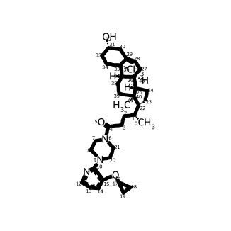 C[C@H](CCC(=O)N1CCN(c2ncccc2OC2CC2)CC1)[C@H]1CC[C@H]2[C@@H]3CC=C4C[C@@H](O)CC[C@]4(C)[C@H]3CC[C@]12C